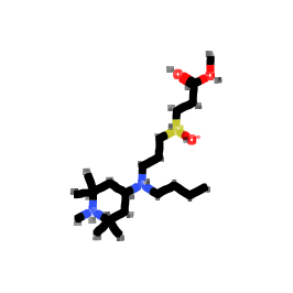 CCCCN(CCC[S+]([O-])CCC(=O)OC)C1CC(C)(C)N(C)C(C)(C)C1